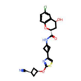 N#C[C@H]1C[C@@H](Oc2nc(C34CC(NC(=O)[C@H]5C[C@@H](O)c6cc(Cl)ccc6O5)(C3)C4)cs2)C1